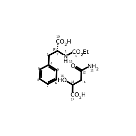 CCOC(=O)N[C@H](Cc1ccccc1)C(=O)O.NC(=O)CC(O)C(=O)O